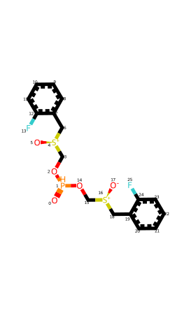 O=[PH](OC[S@@+]([O-])Cc1ccccc1F)OC[S@@+]([O-])Cc1ccccc1F